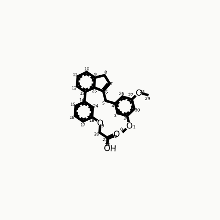 COc1cc(CC2=CCc3cccc(-c4cccc(OCC(=O)O)c4)c32)cc(OC)c1